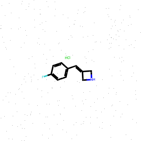 Cl.Fc1ccc(C=C2CNC2)cc1